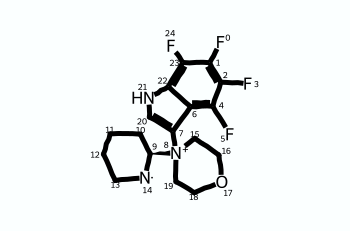 Fc1c(F)c(F)c2c([N+]3([C@@H]4CCCC[N]4)CCOCC3)c[nH]c2c1F